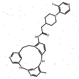 Cc1cnc2nc1Nc1ccc(NC(=O)CC3CCN(c4ccncc4F)CC3)c(c1)CCc1cncc(c1)N2